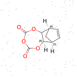 O=C1OC(=O)O[C@H]2C(O1)[C@H]1C=C[C@@H]2C1